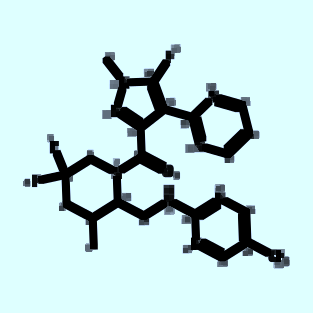 CC1CC(F)(F)CN(C(=O)c2nn(C)c(F)c2-c2ncccn2)C1CNc1ncc(C(F)(F)F)cn1